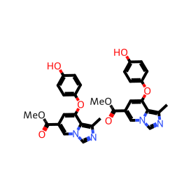 COC(=O)c1cc(Oc2ccc(O)cc2)c2c(C)ncn2c1.COC(=O)c1cc(Oc2ccc(O)cc2)c2c(C)ncn2c1